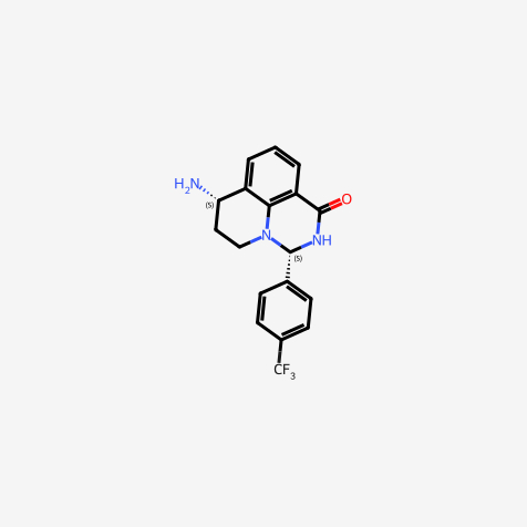 N[C@H]1CCN2c3c(cccc31)C(=O)N[C@@H]2c1ccc(C(F)(F)F)cc1